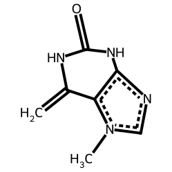 C=C1NC(=O)Nc2ncn(C)c21